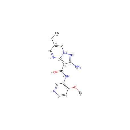 CCOc1ccncc1NC(=O)c1c(N)nn2cc(CC#N)cnc12